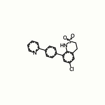 O=S1(=O)CCc2cc(Cl)cc(-c3ccc(-c4ccccn4)cc3)c2N1